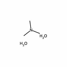 CN(C)C.O.O